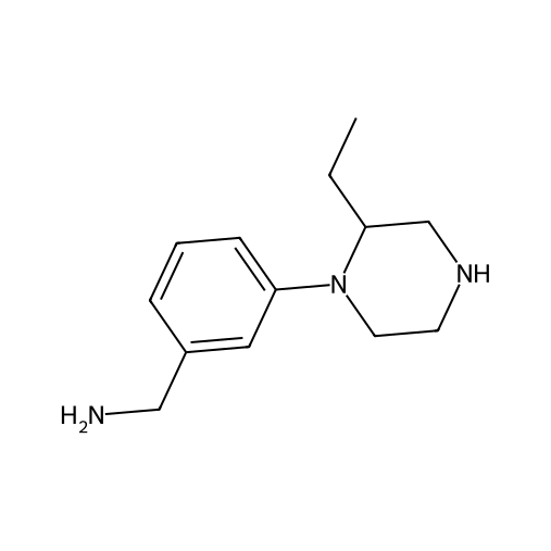 CCC1CNCCN1c1cccc(CN)c1